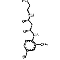 Cc1cc(Br)ccc1NC(=O)CC(=O)NCCO